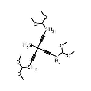 COC(OC)[SiH2]C#CC([SiH3])(C#C[SiH2]C(OC)OC)C#C[SiH2]C(OC)OC